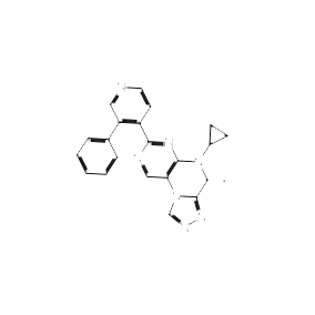 CC[C@@H]1c2nncn2-c2cnc(-c3ccncc3-c3ccccc3)nc2N1C1CC1